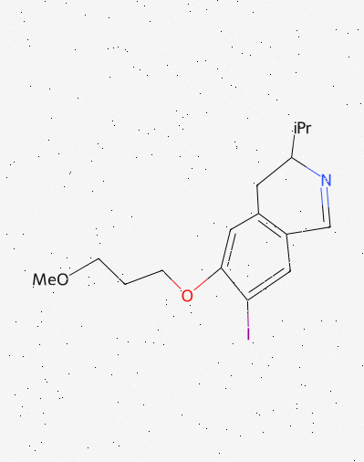 COCCCOc1cc2c(cc1I)C=NC(C(C)C)C2